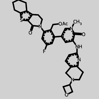 CC(=O)OCc1c(-c2cc(Nc3ccc4c(n3)CCN(C3COC3)C4)c(=O)n(C)c2)cc(F)cc1N1CCc2c(sc3c2CCCC3)C1=O